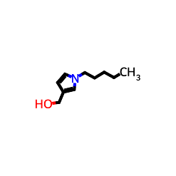 CCCCCn1ccc(CO)c1